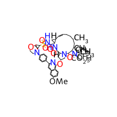 COc1ccc2c(O[C@@H]3C[C@H]4C(=O)N[C@]5(C(=O)NS(=O)(=O)C6CC6)C[C@H]5/C=C\CC[C@H](C)C[C@@H](C)[C@H](N(C(=O)O)C(C)(C)C(F)(F)F)C(=O)N4C3)nc(-c3ccc(N4CCOCC4)cc3)cc2c1